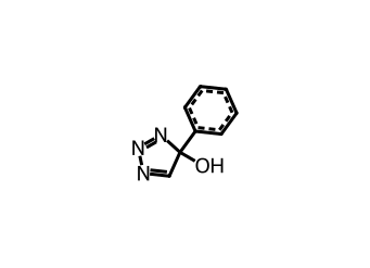 OC1(c2ccccc2)C=NN=N1